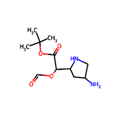 CC(C)(C)OC(=O)C(OC=O)C1CC(N)CN1